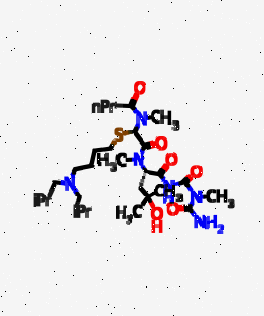 CCCC(=O)N(C)[C@H](SCCCCN(CC(C)C)CC(C)C)C(=O)N(C)[C@@H](CC(C)(C)O)C(=O)NC(=O)N(C)C(N)=O